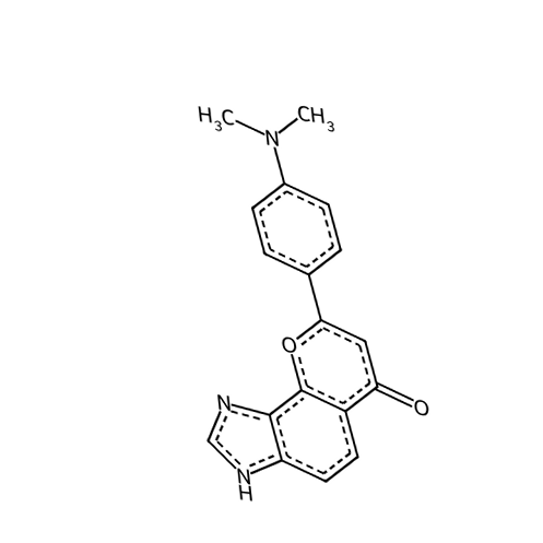 CN(C)c1ccc(-c2cc(=O)c3ccc4[nH]cnc4c3o2)cc1